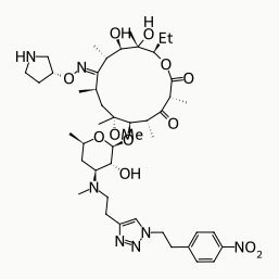 CC[C@H]1OC(=O)[C@H](C)C(=O)[C@H](C)[C@@H](O[C@@H]2O[C@H](C)C[C@H](N(C)CCc3cn(CCc4ccc([N+](=O)[O-])cc4)nn3)[C@H]2O)[C@](C)(OC)C[C@@H](C)/C(=N\O[C@@H]2CCNC2)[C@H](C)[C@@H](O)[C@]1(C)O